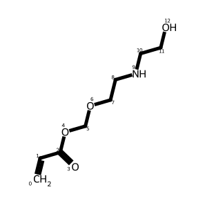 C=CC(=O)OCOCCNCCO